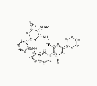 CC(=O)N[C@@H]1[C@H](N)C[C@H](c2ccncc2Nc2ncc3ccc(-c4c(F)cc(C5CCOCC5)cc4F)nn23)C[C@@H]1C